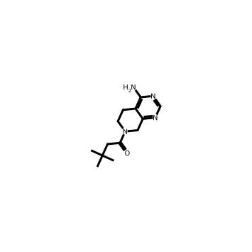 CC(C)(C)CC(=O)N1CCc2c(N)ncnc2C1